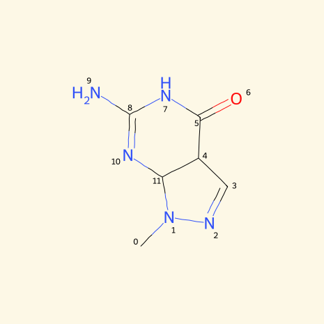 CN1N=CC2C(=O)NC(N)=NC21